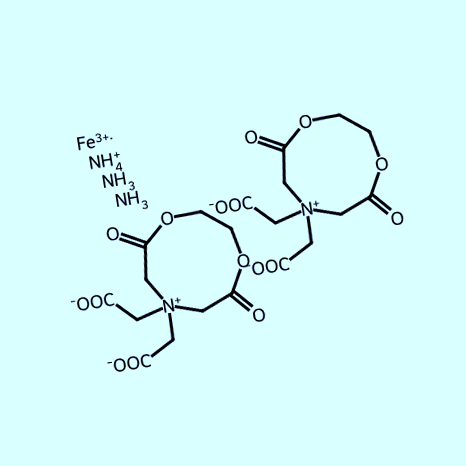 N.N.O=C([O-])C[N+]1(CC(=O)[O-])CC(=O)OCCOC(=O)C1.O=C([O-])C[N+]1(CC(=O)[O-])CC(=O)OCCOC(=O)C1.[Fe+3].[NH4+]